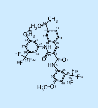 COc1cc(NC(=O)C(=Cc2ccc(C(C)C)cc2)C(=O)Nc2cc(OC)cc(C(F)(F)F)c2)cc(C(F)(F)F)c1